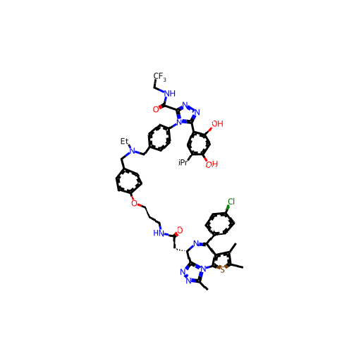 CCN(Cc1ccc(OCCCNC(=O)C[C@@H]2N=C(c3ccc(Cl)cc3)c3c(sc(C)c3C)-n3c(C)nnc32)cc1)Cc1ccc(-n2c(C(=O)NCC(F)(F)F)nnc2-c2cc(C(C)C)c(O)cc2O)cc1